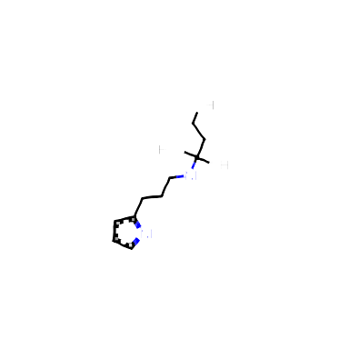 CCCC(C)(C)NCCCc1ccc[nH]1